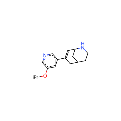 CC(C)Oc1cncc(C2=CC3CC(CCN3)C2)c1